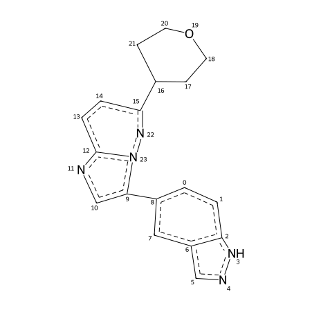 c1cc2[nH]ncc2cc1-c1cnc2ccc(C3CCOCC3)nn12